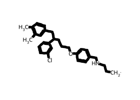 [CH2]CCNCc1ccc(OCCCC(Cc2ccc(C)c(C)c2)c2cccc(Cl)c2)cc1